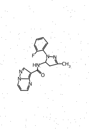 CC1=NN(c2ccccc2F)C(NC(=O)c2cnn3cccnc23)C1